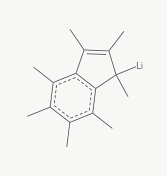 [Li][C]1(C)C(C)=C(C)c2c(C)c(C)c(C)c(C)c21